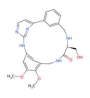 COc1cc2cc(c1OC)CNC(=O)[C@H](CO)NCc1cccc(c1)-c1ccnc(n1)N2